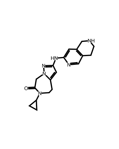 O=C1Cn2nc(Nc3cc4c(cn3)CCNC4)cc2CCN1C1CC1